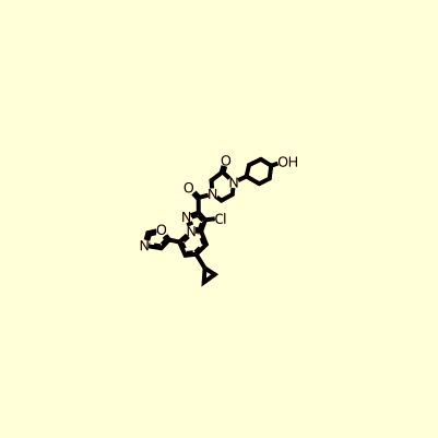 O=C(c1nn2c(-c3cnco3)cc(C3CC3)cc2c1Cl)N1CCN(C2CCC(O)CC2)C(=O)C1